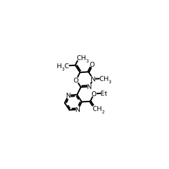 C=C(OCC)c1nccnc1C1=NN(C)C(=O)C(=C(C)C)O1